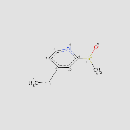 CCc1ccnc([S+](C)[O-])c1